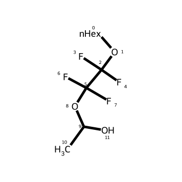 CCCCCCOC(F)(F)C(F)(F)OC(C)O